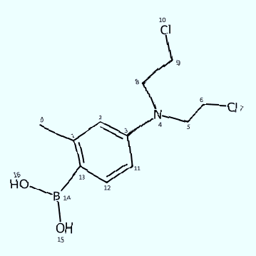 Cc1cc(N(CCCl)CCCl)ccc1B(O)O